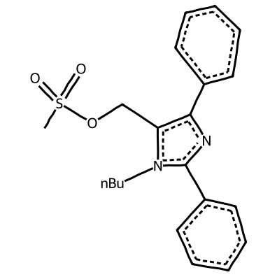 CCCCn1c(-c2ccccc2)nc(-c2ccccc2)c1COS(C)(=O)=O